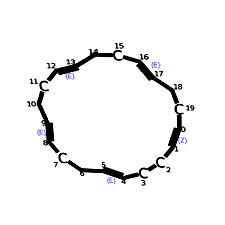 C1=C\CC/C=C/CC/C=C/CC/C=C/CC/C=C/CC/1